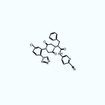 N#Cc1ccc(NC(=O)C(Cc2ccccc2)N2CC(=O)N(c3cc(Cl)ccc3-n3cnnn3)CC2=O)cn1